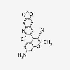 CC1=C(C#N)C(c2cc3cc4c(cc3nc2Cl)OCO4)c2ccc(N)cc2O1